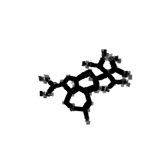 CC(C)[Si](C(C)C)(C(C)C)N1C=C2C=C(F)OCC3=C2C(=C1)CC3N(C)C